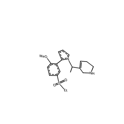 CCS(=O)(=O)c1ccc(OC)c(-c2cccn2C(C)C2=CCCNC2)c1